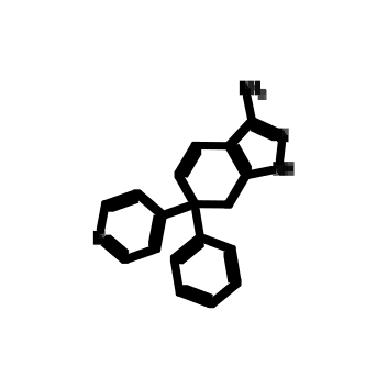 Nc1n[nH]c2c1C=CC(c1ccccc1)(c1ccncc1)C2